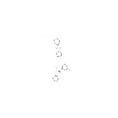 CCOC(=O)c1ccc(S(=O)(=O)c2ccc(OCCNC(Cc3ccccc3)[C@H](O)c3cccc(Cl)c3)cc2)cc1